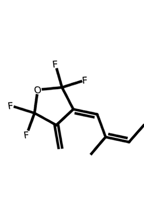 C=C1/C(=C\C(C)=C/C)C(F)(F)OC1(F)F